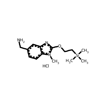 Cl.Cn1c(OCC[Si](C)(C)C)nc2cc(CN)ccc21